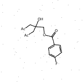 CC(=O)CC(O)(COC(=O)c1ccc(F)cc1)CC(C)=O